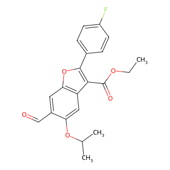 CCOC(=O)c1c(-c2ccc(F)cc2)oc2cc(C=O)c(OC(C)C)cc12